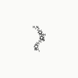 NCCc1ccc(Nc2ccn(CCCCN3CCC(N)CC3)c(=O)n2)nc1